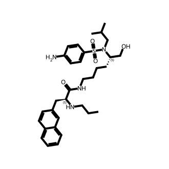 CCCN[C@@H](Cc1ccc2ccccc2c1)C(=O)NCCCC[C@@H](CO)N(CC(C)C)S(=O)(=O)c1ccc(N)cc1